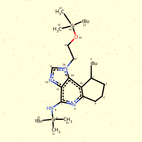 CCC(C)C1CCCc2nc(N[Si](C)(C)C(C)(C)C)c3ncn(CCO[Si](C)(C)C(C)(C)C)c3c21